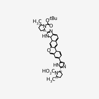 C[C@H]1CC[C@@H](C2=NC3=CC=C4C=C5C(=CC4C3N2)OC=C2C=C(c3cnc([C@@H]4CC[C@H](C)N4C(=O)O)[nH]3)C=CC25)N1C(=O)OC(C)(C)C